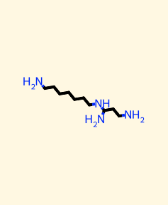 NCCCCCCCNC(N)CCN